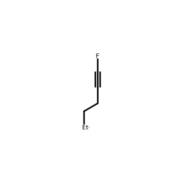 C[CH]CCC#CF